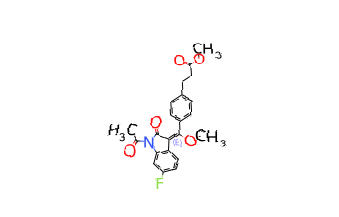 COC(=O)CCc1ccc(/C(OC)=C2\C(=O)N(C(C)=O)c3cc(F)ccc32)cc1